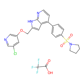 O=C(O)C(F)(F)F.O=S(=O)(c1ccc(-c2ccnc3[nH]c(COc4cncc(Cl)c4)cc23)cc1)N1CCCC1